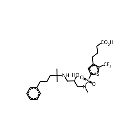 CN(C[C@H](O)CNC(C)(C)CCCc1ccccc1)S(=O)(=O)c1cc(CCCC(=O)O)c(C(F)(F)F)s1